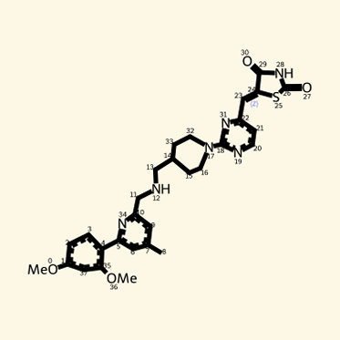 COc1ccc(-c2cc(C)cc(CNCC3CCN(c4nccc(/C=C5\SC(=O)NC5=O)n4)CC3)n2)c(OC)c1